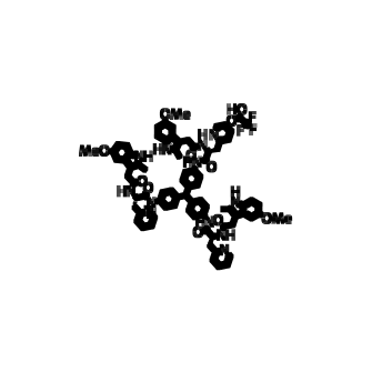 COc1ccc2[nH]c(C)c(CC(=O)N[C@@H](Cc3ccccn3)C(=O)Nc3ccc(C(c4ccc(NC(=O)[C@H](Cc5ccccn5)NC(=O)Cc5c(C)[nH]c6ccc(OC)cc56)cc4)c4ccc(NC(=O)[C@H](Cc5ccccn5)NC(=O)Cc5c(C)[nH]c6ccc(OC)cc56)cc4)cc3)c2c1.O=C(O)C(F)(F)F